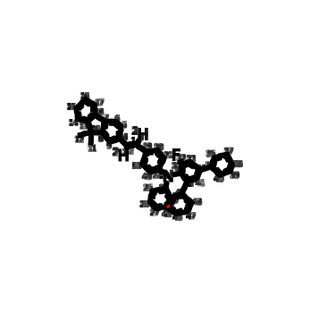 [2H]/C(=C(/[2H])c1ccc2c(c1)C(C)(C)c1ccccc1-2)c1ccc(N(c2ccccc2)c2c(F)cc(-c3ccccc3)cc2-c2ccccc2)cc1